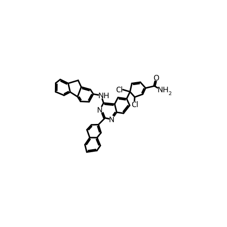 NC(=O)C1=CC(Cl)C(Cl)(c2ccc3nc(-c4ccc5ccccc5c4)nc(Nc4ccc5c(c4)Cc4ccccc4-5)c3c2)C=C1